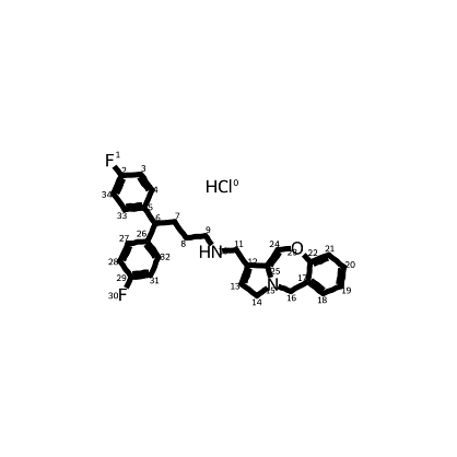 Cl.Fc1ccc(C(CCCNCC2=CCN3Cc4ccccc4OC=C23)c2ccc(F)cc2)cc1